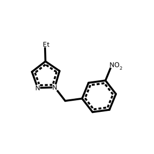 CCc1cnn(Cc2cccc([N+](=O)[O-])c2)c1